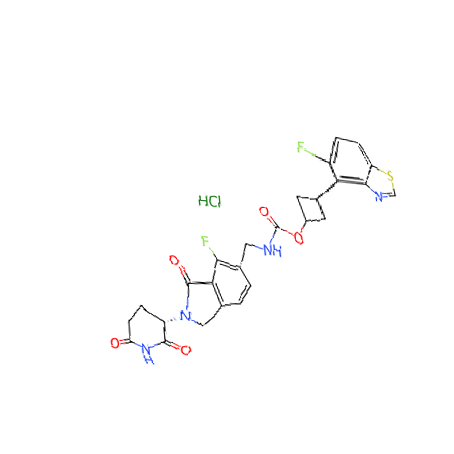 Cl.O=C1CC[C@H](N2Cc3ccc(CNC(=O)OC4CC(c5c(F)ccc6scnc56)C4)c(F)c3C2=O)C(=O)N1